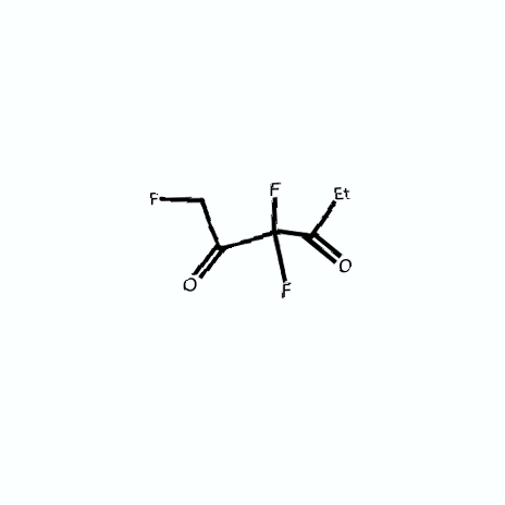 CCC(=O)C(F)(F)C(=O)CF